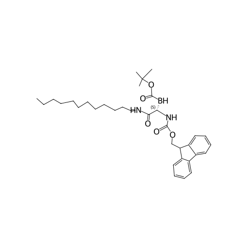 CCCCCCCCCCCCNC(=O)[C@H](BC(=O)OC(C)(C)C)NC(=O)OCC1c2ccccc2-c2ccccc21